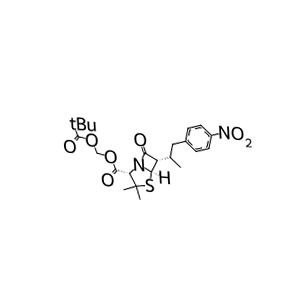 CC(Cc1ccc([N+](=O)[O-])cc1)[C@H]1C(=O)N2[C@@H]1SC(C)(C)[C@@H]2C(=O)OCOC(=O)C(C)(C)C